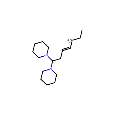 CC[SiH2]C=CCC(N1CCCCC1)N1CCCCC1